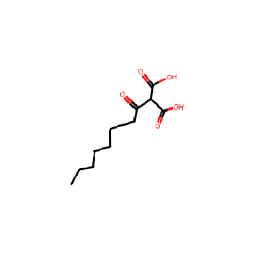 CCCCCCCC(=O)C(C(=O)O)C(=O)O